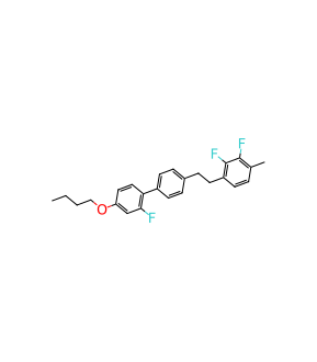 CCCCOc1ccc(-c2ccc(CCc3ccc(C)c(F)c3F)cc2)c(F)c1